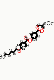 CCCCCCCCC1COC(c2ccc(OC(=O)c3ccc(OCCCCCC(C)CC)cc3)cc2)OC1